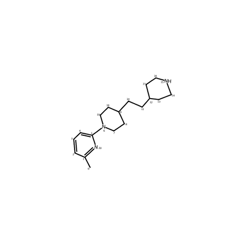 Cc1cccc(N2CCC(CCC3CCNCC3)CC2)n1